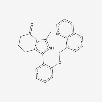 Cc1[nH]c(-c2ccccc2OCc2cccc3cccnc23)c2c1C(=O)CCC2